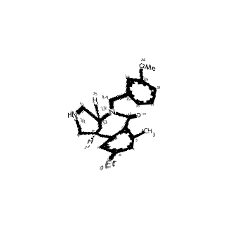 CCc1cc(C)c2c(c1)[C@H]1CNC[C@@H]1N(Cc1cccc(OC)c1)C2=O